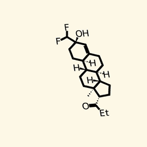 CCC(=O)[C@H]1CC[C@H]2[C@@H]3CCC4=C[C@@](O)(C(F)F)CC[C@@H]4[C@H]3CC[C@]12C